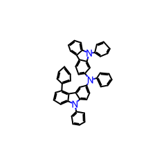 c1ccc(-c2cccc3c2c2cc(N(c4ccccc4)c4ccc5c6ccccc6n(-c6ccccc6)c5c4)ccc2n3-c2ccccc2)cc1